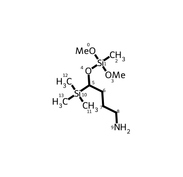 CO[Si](C)(OC)OC(CCCN)[Si](C)(C)C